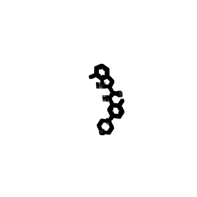 Cc1ccc(N2CCOCC2)cc1NC(=O)C1Cc2cccc(C)c2N1